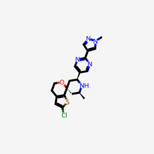 C[C@H]1C[C@@]2(C[C@@H](c3cnc(-c4cnn(C)c4)nc3)N1)OCCc1cc(Cl)sc12